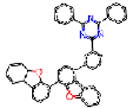 C1=CC2Oc3c(-c4ccc(-c5cccc(-c6nc(-c7ccccc7)nc(-c7ccccc7)n6)c5)c5c4oc4ccccc45)cccc3C2C=C1